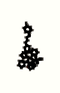 O=S(=O)(O)N(C1CCCCC1)C1c2ccccc2C2(CCN(CCCOc3ccc(F)cc3)CC2)c2nccn2C1N(C1CCCCC1)S(=O)(=O)O